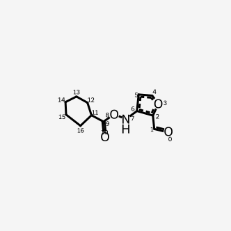 O=Cc1occc1NOC(=O)C1CCCCC1